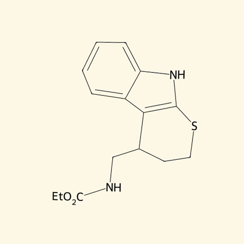 CCOC(=O)NCC1CCSc2[nH]c3ccccc3c21